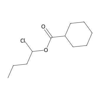 CCCC(Cl)OC(=O)C1CCCCC1